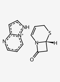 O=C1C[C@H]2SCC=CN12.c1cnc2cc[nH][n+]2c1